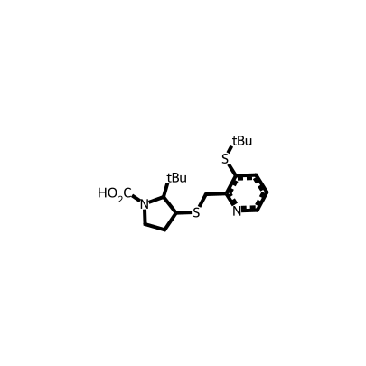 CC(C)(C)Sc1cccnc1CSC1CCN(C(=O)O)C1C(C)(C)C